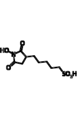 O=C1CC(CCCCCS(=O)(=O)O)C(=O)N1O